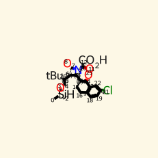 C[SiH](C)OC[C@H]([C@@H]1C(=O)N(C(=O)C(=O)O)[C@@H]1[C@@H]1CCc2ccc(Cl)cc2C1=O)C(C)(C)C